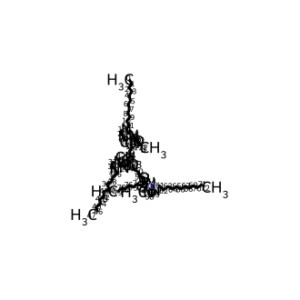 CCCCCCCCCCCCN1CCN(C)C1=NB(OCC)OCCCOB(N=C1N(C)CCN1CCCCCCCCCCCC)OCCCOB(/N=C1\N(C)CCN1CCCCCCCCCCCC)OCCCCCCC